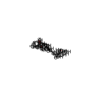 CC[C@]1(O)C[C@H]2CN(CCc3c([nH]c4ccccc34)[C@@](C(=O)OC)(c3cc4c(cc3OC)N(C)[C@H]3[C@@](O)(C(=O)NNC(=O)OCCSSC[C@H](NC(=O)[C@@H](NC(C)=O)[C@@H](O)[C@H](O)[C@H](O)CO)C(=O)O)[C@H](O)[C@]5(CC)C=CCN6CC[C@]43[C@@H]65)C2)C1